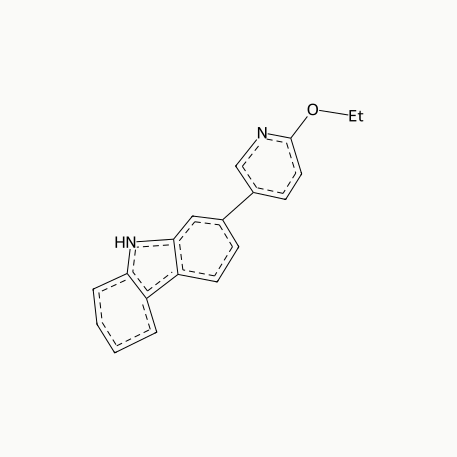 CCOc1ccc(-c2ccc3c(c2)[nH]c2ccccc23)cn1